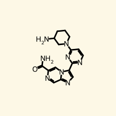 NC(=O)c1cn2c(-c3nccc(N4CCCC(N)C4)n3)cnc2cn1